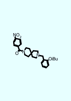 CC(C)COc1ccccc1CN1CCC2(CC1)CCN(C(=O)c1ccc([N+](=O)[O-])cc1)CC2